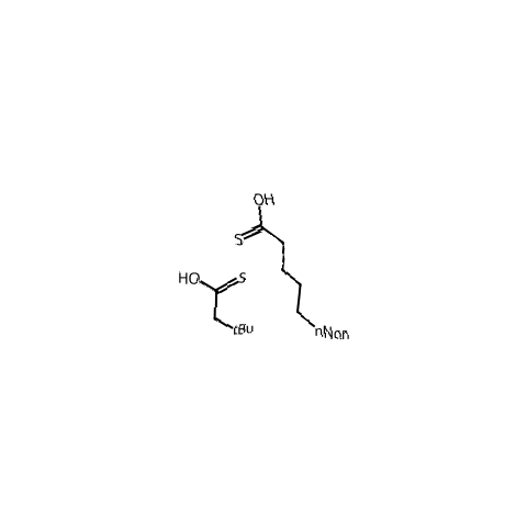 CC(C)(C)CC(O)=S.CCCCCCCCCCCCCC(O)=S